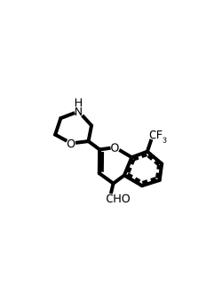 O=CC1C=C(C2CNCCO2)Oc2c1cccc2C(F)(F)F